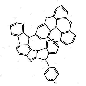 c1ccc(-n2c3ccccc3n3c4c(ccc5c6ccccc6n(-c6cc7c8c(c6)Oc6cccc9c6B8c6c(cccc6O7)O9)c54)nc23)cc1